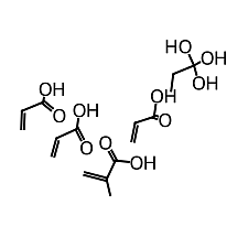 C=C(C)C(=O)O.C=CC(=O)O.C=CC(=O)O.C=CC(=O)O.CCC(O)(O)O